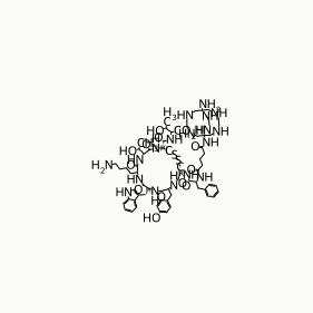 CC(O)C(NC(=O)[C@@H]1CSSC[C@H](NC(=O)C(Cc2ccccc2)NC(=O)CCCC(=O)N[C@]23CNCCNC[C@](N)(CNCCNC2)NCCN3)C(=O)NC(Cc2ccc(O)cc2)C(=O)N[C@H](Cc2c[nH]c3ccccc23)C(=O)NC(CCCCN)C(=O)NC(C(C)O)C(=O)N1)C(=O)O